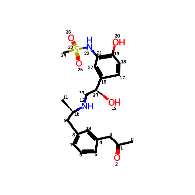 CC(=O)Cc1cccc(C[C@@H](C)NC[C@H](O)c2ccc(O)c(NS(C)(=O)=O)c2)c1